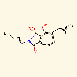 C=CCc1ccc2c(c1O)C(=O)N(CCCC)C2=O